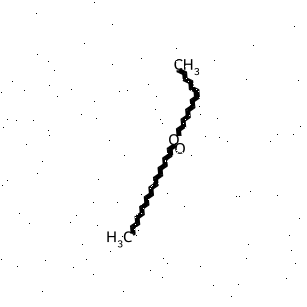 CCCCCC/C=C\CCCCCCCCOC(=O)C=CCCCCCCCCCCCCCCCCC